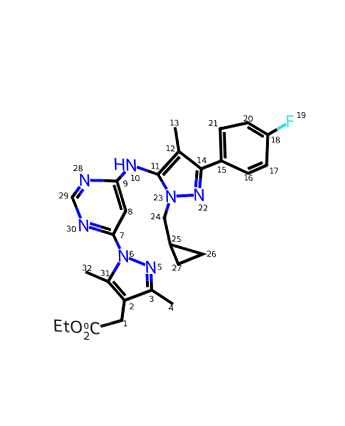 CCOC(=O)Cc1c(C)nn(-c2cc(Nc3c(C)c(-c4ccc(F)cc4)nn3CC3CC3)ncn2)c1C